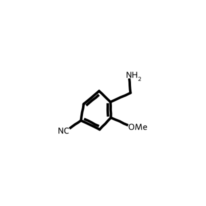 COc1cc(C#N)ccc1CN